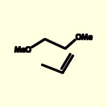 C=CC.COCCOC